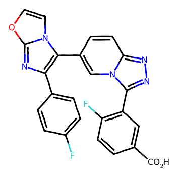 O=C(O)c1ccc(F)c(-c2nnc3ccc(-c4c(-c5ccc(F)cc5)nc5occn45)cn23)c1